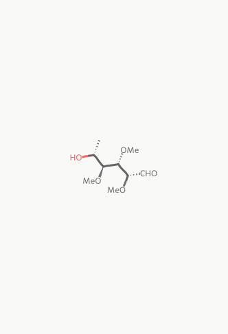 CO[C@H]([C@H](OC)[C@H](C=O)OC)[C@@H](C)O